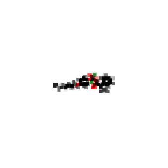 C=C(C(=O)OC(F)(F)Oc1ccc(OCCCCC(F)(F)F)cc1)c1ccccc1